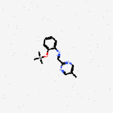 Cc1cnc(/C=N/c2ccccc2O[Si](C)(C)C)nc1